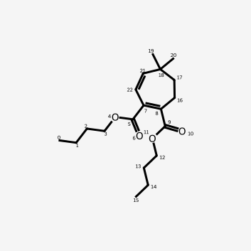 CCCCOC(=O)C1=C(C(=O)OCCCC)CCC(C)(C)C=C1